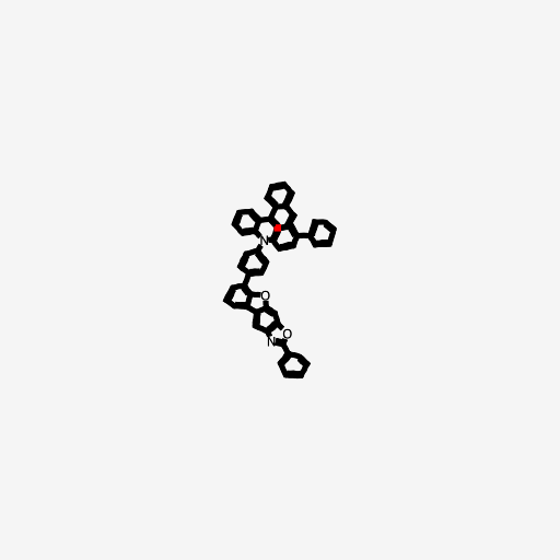 c1ccc(-c2ccc(N(c3ccc(-c4cccc5c4oc4cc6oc(-c7ccccc7)nc6cc45)cc3)c3ccccc3-c3cccc4ccccc34)cc2)cc1